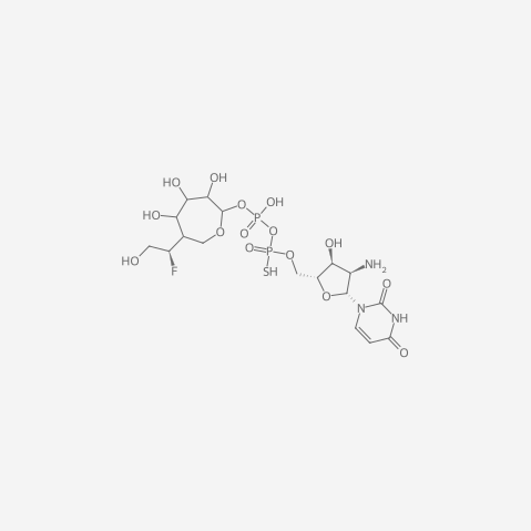 N[C@@H]1[C@H](O)[C@@H](COP(=O)(S)OP(=O)(O)OC2OCC([C@@H](F)CO)C(O)C(O)C2O)O[C@H]1n1ccc(=O)[nH]c1=O